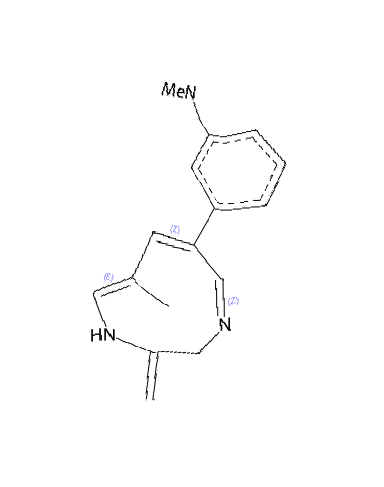 C=C1C\N=C/C(c2cccc(NC)c2)=C\C(C)=C\N1